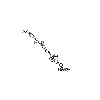 CC(=O)COCCOCCNC(=O)COCCOCCNC(=O)COCCOCCNC(C)C